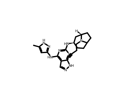 Cc1cc(Nc2nc(N[C@@H]3CCC4CC[C@@H](C3)N4CCC#N)nc3[nH]ncc23)n[nH]1